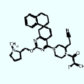 C=C(F)C(=O)N1CCN(c2nc(OCC3CCCN3C)nc3c2CCC2(CCCc4ccccc42)C3)CC1CC#N